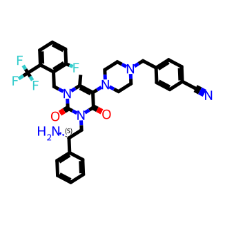 Cc1c(N2CCN(Cc3ccc(C#N)cc3)CC2)c(=O)n(C[C@@H](N)c2ccccc2)c(=O)n1Cc1c(F)cccc1C(F)(F)F